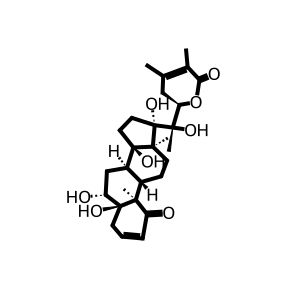 CC1=C(C)C(=O)O[C@@H]([C@](C)(O)[C@]2(O)CC[C@@]3(O)[C@@H]4C[C@@H](O)[C@@]5(O)CC=CC(=O)[C@]5(C)[C@H]4CC[C@]23C)C1